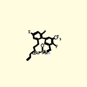 C=CCCCCc1cc(F)cc(C)c1-c1cc(/C=N\[S@+]([O-])C(C)(C)C)c(F)c(C(F)(F)F)c1